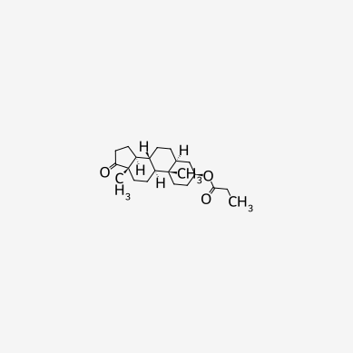 CCC(=O)O[C@H]1CC[C@@]2(C)[C@@H](CC[C@@H]3[C@@H]2CC[C@]2(C)C(=O)CC[C@@H]32)C1